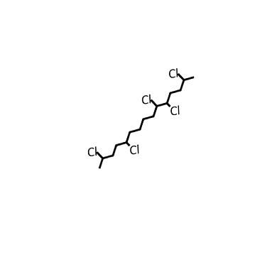 CC(Cl)CCC(Cl)CCCCC(Cl)C(Cl)CCC(C)Cl